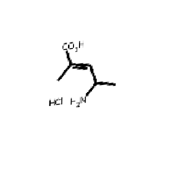 CC(=CC(C)N)C(=O)O.Cl